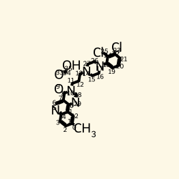 Cc1ccc2ncc3c(=O)n(CCCN4CCN(c5cccc(Cl)c5Cl)CC4)cnc3c2c1.O=CO